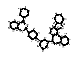 c1ccc(-c2nc(-c3ccc(-c4cccc(-c5nc6ccccc6c6c5ccc5c7ccccc7oc56)c4)cc3)nc3ccccc23)cc1